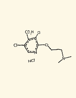 CN(C)CCOc1ncc(Cl)c(C(=O)O)c1Cl.Cl